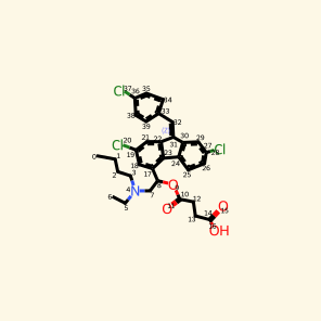 CCCCN(CC)CC(OC(=O)CCC(=O)O)c1cc(Cl)cc2c1-c1ccc(Cl)cc1/C2=C/c1ccc(Cl)cc1